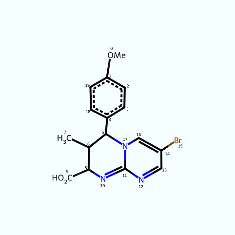 COc1ccc(C2C(C)C(C(=O)O)N=C3N=CC(Br)=CN32)cc1